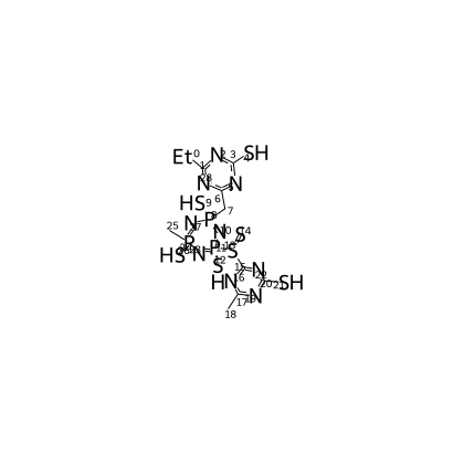 CCc1nc(S)nc(CP2(S)=NP(S)(S(=S)c3nc(C)nc(S)n3)=NP(C)(S)=N2)n1